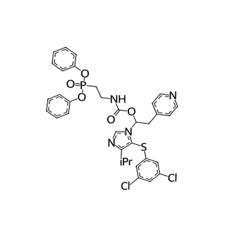 CC(C)c1ncn(C(Cc2ccncc2)OC(=O)NCCP(=O)(Oc2ccccc2)Oc2ccccc2)c1Sc1cc(Cl)cc(Cl)c1